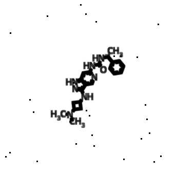 C[C@@H](NC(=O)Nc1cc2[nH]nc(NC3CC(N(C)C)C3)c2cn1)c1ccccc1